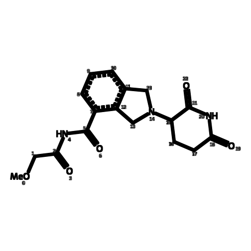 COCC(=O)NC(=O)c1cccc2c1CN(C1CCC(=O)NC1=O)C2